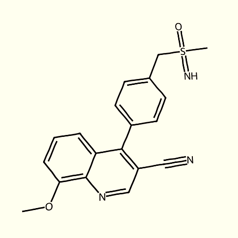 COc1cccc2c(-c3ccc(CS(C)(=N)=O)cc3)c(C#N)cnc12